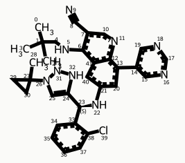 CC(C)(C)CNc1c(C#N)cnc2c(-c3cncnc3)cc(N[C@H](C3=CN(C4(C)CC4)NN3)c3ccccc3Cl)cc12